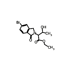 CCOC(=O)C(C(C)O)N1Cc2cc(Br)ccc2C1=O